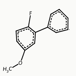 COc1ccc(F)c(-c2c[c]ccc2)c1